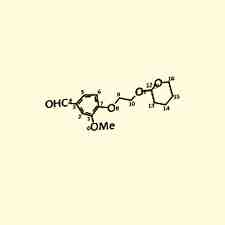 COc1cc(C=O)ccc1OCCOC1CCCCO1